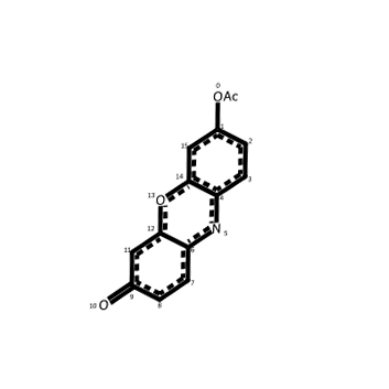 CC(=O)Oc1ccc2nc3ccc(=O)cc-3oc2c1